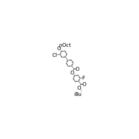 CCCCCCCCOc1ccc(-c2ccc(C(=O)Oc3ccc(C(=O)OC[C@@H](C)CC)c(F)c3)cc2)cc1Cl